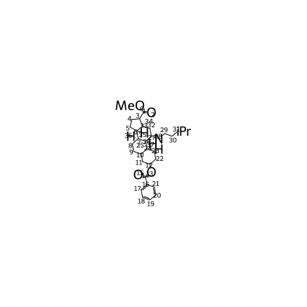 COC(=O)C1CC[C@H]2[C@@H]3CCC4CC(OC(=O)c5ccccc5)CC[C@]4(C)[C@@H]3C(NCCC(C)C)C[C@]12C